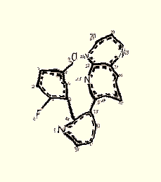 Fc1ccc(Cl)cc1-c1ncccc1-c1ccc2nccnc2n1